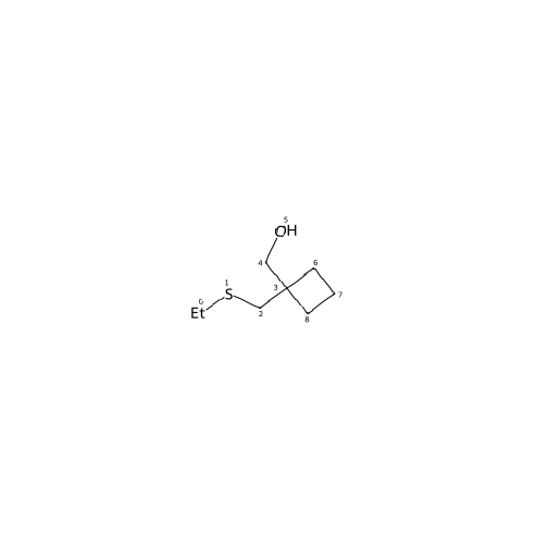 CCSCC1(CO)CCC1